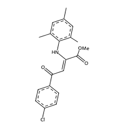 COC(=O)C(=CC(=O)c1ccc(Cl)cc1)Nc1c(C)cc(C)cc1C